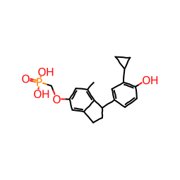 Cc1cc(OCP(=O)(O)O)cc2c1C(c1ccc(O)c(C3CC3)c1)CC2